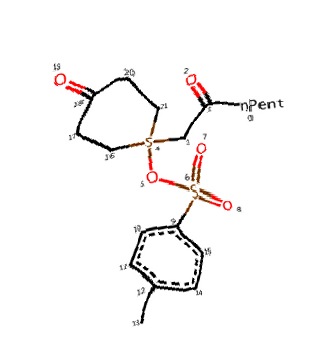 CCCCCC(=O)CS1(OS(=O)(=O)c2ccc(C)cc2)CCC(=O)CC1